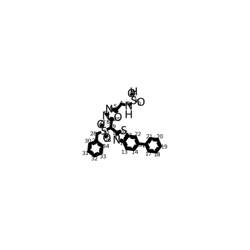 O=[SH](=O)NCc1nnc(C(c2nc3ccc(-c4ccccc4)cc3s2)S(=O)(=O)Cc2ccccc2)o1